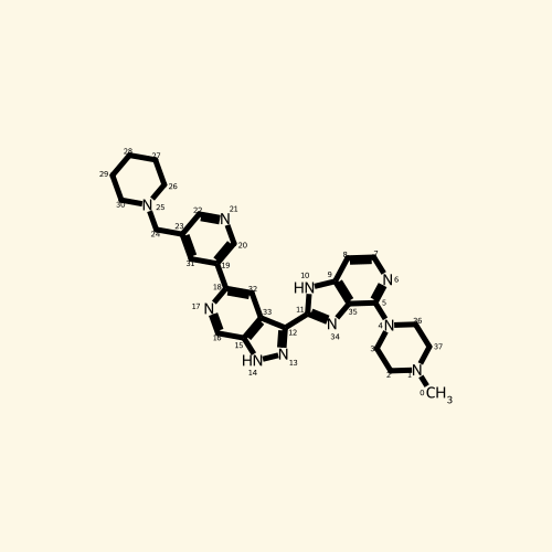 CN1CCN(c2nccc3[nH]c(-c4n[nH]c5cnc(-c6cncc(CN7CCCCC7)c6)cc45)nc23)CC1